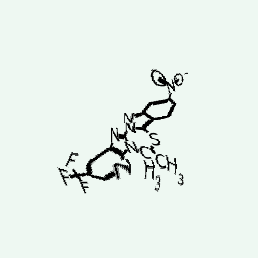 CCSc1c2ccc([N+](=O)[O-])cc2nn1-c1nc2cc(C(F)(F)F)cnc2n1C